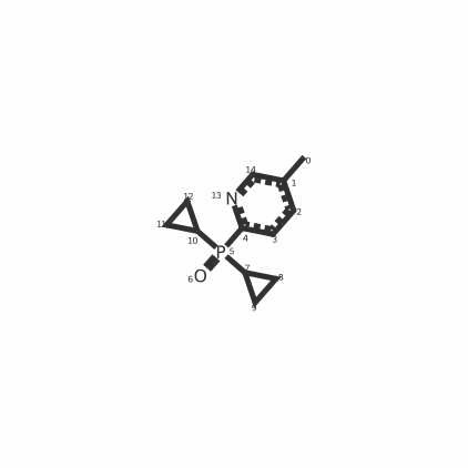 Cc1ccc(P(=O)(C2CC2)C2CC2)nc1